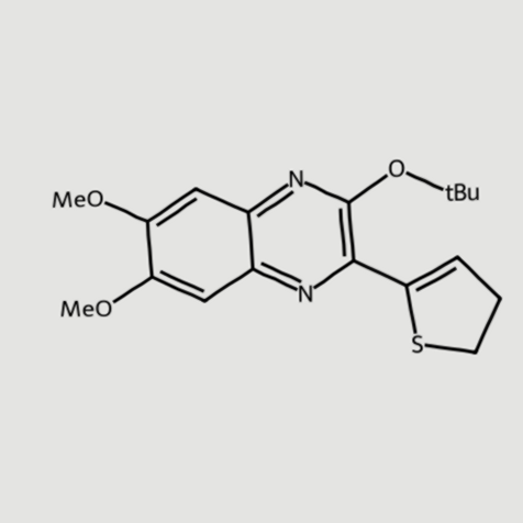 COc1cc2nc(OC(C)(C)C)c(C3=CCCS3)nc2cc1OC